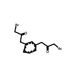 CC(=O)CC(=O)Cc1cccc(CC(=O)CC(C)=O)c1